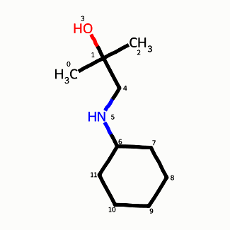 CC(C)(O)CNC1CCCCC1